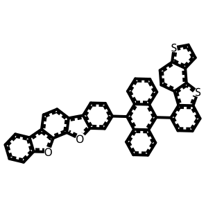 c1ccc2c(c1)oc1c2ccc2c3ccc(-c4c5ccccc5c(-c5cccc6sc7c8ccsc8ccc7c56)c5ccccc45)cc3oc21